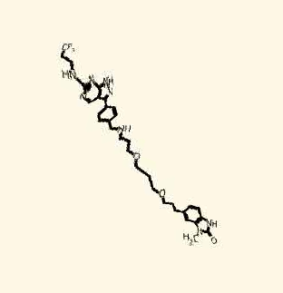 Cn1c(=O)[nH]c2ccc(CCCOCCCOCCCNCc3ccc(-c4n[nH]c5nc(NCCC(F)(F)F)ncc45)cc3)cc21